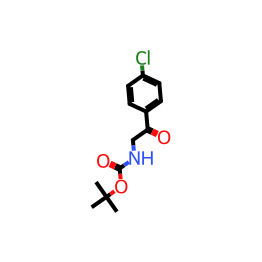 CC(C)(C)OC(=O)NCC(=O)c1ccc(Cl)cc1